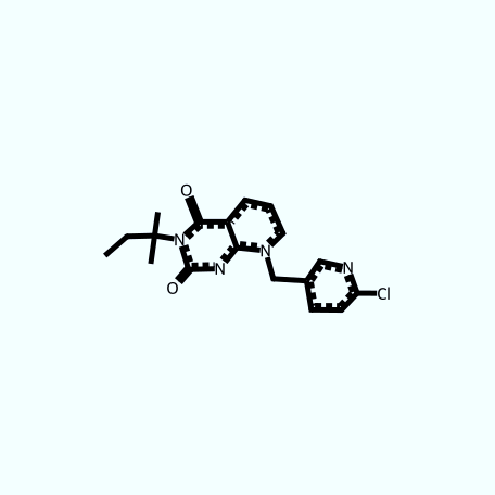 CCC(C)(C)n1c(=O)nc2n(Cc3ccc(Cl)nc3)cccc-2c1=O